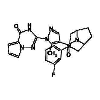 Cc1c(C(=O)N2C3CCC2CN(c2cccc(F)c2)C3)cnn1-c1nn2cccc2c(=O)[nH]1